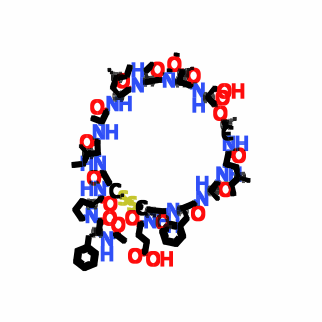 CC[C@@H](C)C[C@@H]1NC(=O)C(C)NC(=O)C([C@H](C)CC)NC(=O)C(NC(=O)[C@@H]2CCCN2C(=O)[C@@H](Cc2ccccc2)NC(C)=O)CSSC[C@H](NC(=O)CCC(=O)O)C(=O)N[C@H](Cc2ccccc2)C(=O)N[C@H](C)C(=O)NC(C[C@@H](C)CC)C(=O)NC[C@@H](C)OC(=O)[C@H](CO)NC(=O)[C@H]([C@@H](C)OC)N(C)C(=O)[C@@H](CC)NC1=O